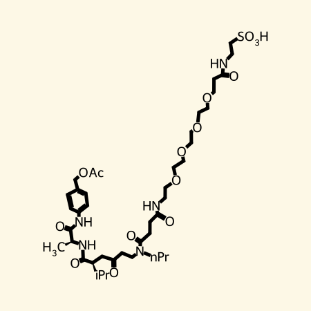 CCCN(CCC(=O)C[C@H](C(=O)N[C@@H](C)C(=O)Nc1ccc(COC(C)=O)cc1)C(C)C)C(=O)CCC(=O)NCCOCCOCCOCCOCCC(=O)NCCS(=O)(=O)O